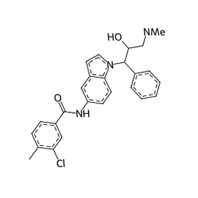 CNCC(O)C(c1ccccc1)n1ccc2cc(NC(=O)c3ccc(C)c(Cl)c3)ccc21